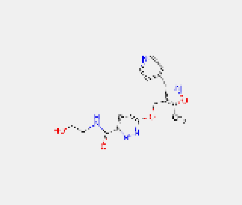 Cc1onc(-c2ccncc2)c1COc1ccc(C(=O)NCCO)nn1